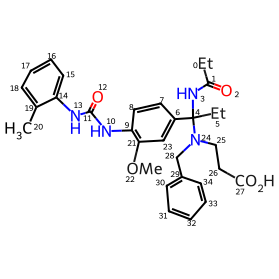 CCC(=O)NC(CC)(c1ccc(NC(=O)Nc2ccccc2C)c(OC)c1)N(CCC(=O)O)Cc1ccccc1